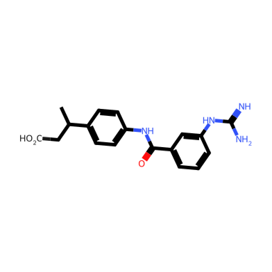 CC(CC(=O)O)c1ccc(NC(=O)c2cccc(NC(=N)N)c2)cc1